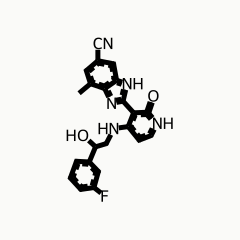 Cc1cc(C#N)cc2[nH]c(-c3c(NCC(O)c4cccc(F)c4)cc[nH]c3=O)nc12